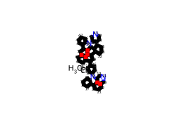 C[Si]1(C)c2cc(N(c3cccnc3)c3ccccc3-c3ccccc3)ccc2-c2cc3c4ccccc4c(N(c4cccnc4)c4ccccc4-c4ccccc4)cc3c3cccc1c23